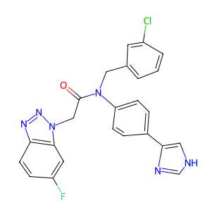 O=C(Cn1nnc2ccc(F)cc21)N(Cc1cccc(Cl)c1)c1ccc(-c2c[nH]cn2)cc1